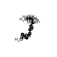 COC(=O)N[C@H](C(=O)N[C@H](c1nc(-c2ccc3c(c2)C(F)(F)c2cc(-c4ccc5nc([C@@H]6CCCN6C(=O)[C@H](NC(=O)OC)c6ccccc6)[nH]c5c4)ccc2-3)c[nH]1)C(C)C)C(C)C